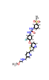 COCCNCc1ccc(C2Cc3nccc(Oc4ccc(NC(=O)Nc5cccc(S(C)(=O)=O)c5)cc4F)c3S2)nc1